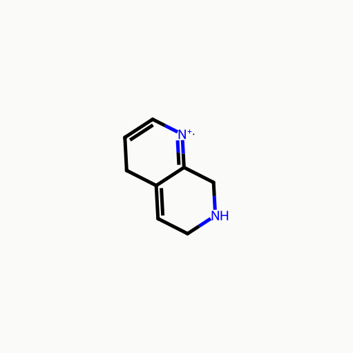 C1=C[N+]=C2CNCC=C2C1